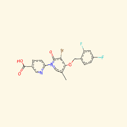 Cc1cn(-c2ccc(C(=O)O)cn2)c(=O)c(Br)c1OCc1ccc(F)cc1F